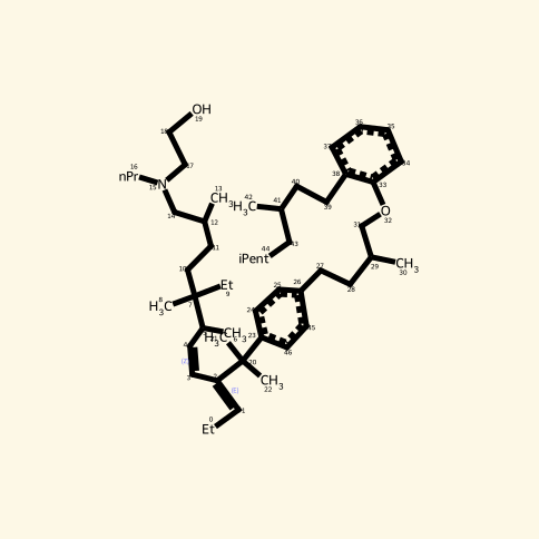 CC/C=C(\C=C/C(C)C(C)(CC)CCC(C)CN(CCC)CCO)C(C)(C)c1ccc(CCC(C)COc2ccccc2CCC(C)CC(C)CCC)cc1